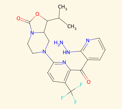 CC(C)C1OC(=O)N2CCN(c3ccc(C(F)(F)F)c(C(=O)c4cccnc4NN)n3)CC12